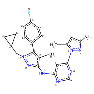 Cc1cc(C)n(-c2cc(Nc3nn(CC4CC4)c(-c4ccc(F)cc4)c3C)ncn2)n1